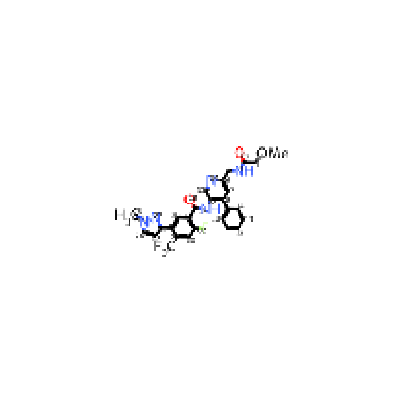 COCC(=O)NCc1cc(-c2ccccc2)c(NC(=O)c2cc(-c3ccn(C)n3)c(C(F)(F)F)cc2F)cn1